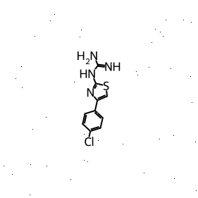 N=C(N)Nc1nc(-c2ccc(Cl)cc2)cs1